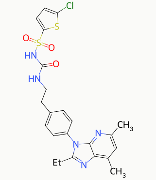 CCc1nc2c(C)cc(C)nc2n1-c1ccc(CCNC(=O)NS(=O)(=O)c2ccc(Cl)s2)cc1